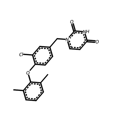 Cc1cccc(C)c1Oc1ccc(Cn2ccc(=O)[nH]c2=O)cc1Cl